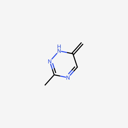 C=C1C=NC(C)=NN1